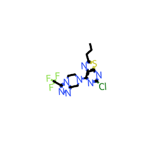 CCCc1nc2c(N3CCn4c(nnc4C(F)(F)F)C3)nc(Cl)nc2s1